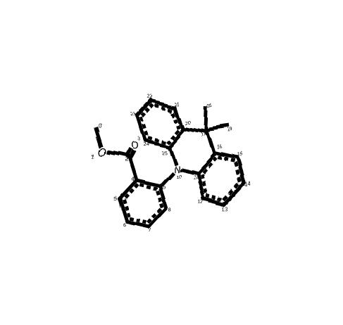 COC(=O)c1ccccc1N1c2ccccc2C(C)(C)c2ccccc21